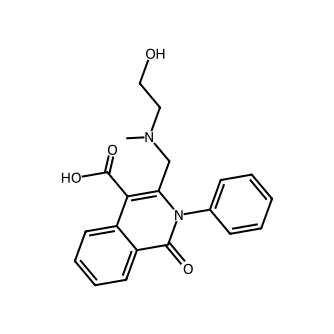 CN(CCO)Cc1c(C(=O)O)c2ccccc2c(=O)n1-c1ccccc1